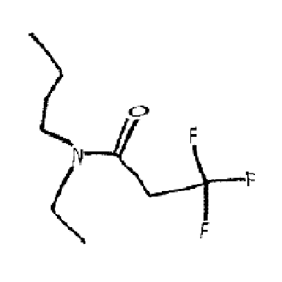 CCCN(CC)C(=O)CC(F)(F)F